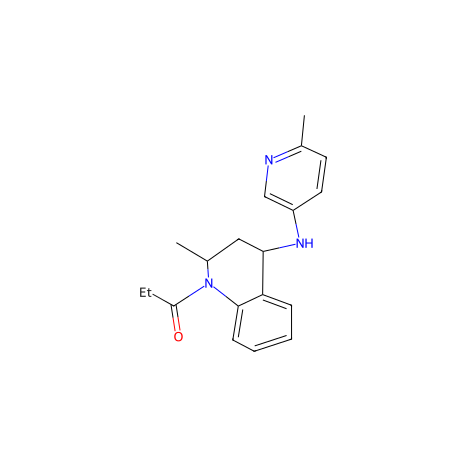 CCC(=O)N1c2ccccc2C(Nc2ccc(C)nc2)CC1C